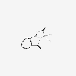 CC(C)C1(C(C)C)C(=O)N=C2c3ccccc3C(=O)N21